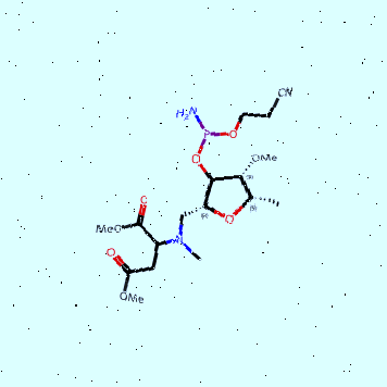 COC(=O)CC(C(=O)OC)N(C)C[C@H]1O[C@@H](C)[C@@H](OC)C1OP(N)OCCC#N